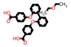 CCOCC.O=C(O)c1ccc(Oc2ccccc2-c2ccccc2Oc2ccc(C(=O)O)cc2)cc1